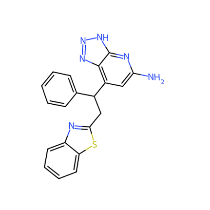 Nc1cc(C(Cc2nc3ccccc3s2)c2ccccc2)c2nn[nH]c2n1